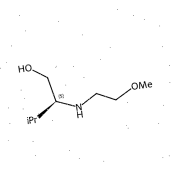 COCCN[C@H](CO)C(C)C